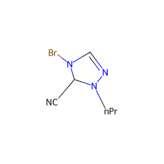 CCCN1N=CN(Br)C1C#N